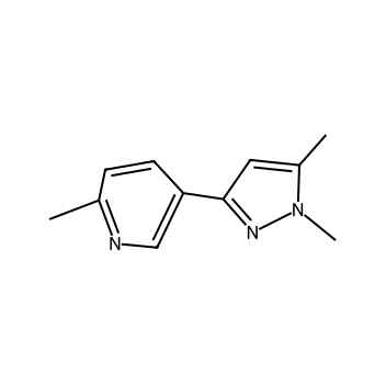 Cc1ccc(-c2cc(C)n(C)n2)cn1